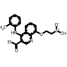 CCC(=O)c1cnc2c(OCC[S+](C)[O-])cccc2c1Nc1ccccc1C